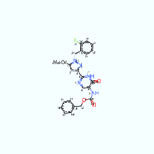 COc1cc(-c2ncc(NC(=O)OCc3ccccc3)c(=O)[nH]2)nn1Cc1ccccc1F